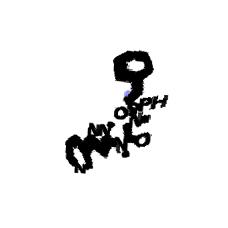 CN(C(=O)CN(C)S(=O)(=P)/C=C/c1ccccc1)c1cc(-c2cccnc2)nn1C